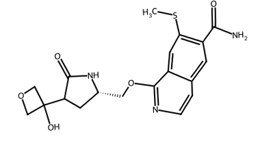 CSc1cc2c(OC[C@@H]3CC(C4(O)COC4)C(=O)N3)nccc2cc1C(N)=O